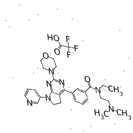 CCN(CCN(C)C)C(=O)c1cccc(-c2nc(N3CCOCC3)nc3c2CCN3c2cccnc2)c1.O=C(O)C(F)(F)F